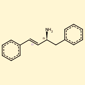 N[C@H](/C=C/c1ccccc1)Cc1ccccc1